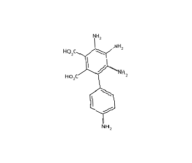 Nc1ccc(-c2c(N)c(N)c(N)c(C(=O)O)c2C(=O)O)cc1